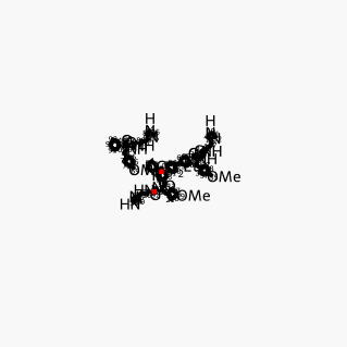 CCOC(=O)C1(C2CCCCC2)CCN(C(=O)C(Cc2ccc(OC)cc2)NC(=O)NCCc2c[nH]cn2)CC1.COc1ccc(CC(NC(=O)NCCc2c[nH]cn2)C(=O)N2CCC(c3ccccc3)CC2)cc1.COc1ccc(CC(NC(=O)NCCc2c[nH]cn2)C(=O)N2CCCCC2)cc1